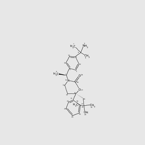 C[C@@H](c1ccc(C(C)(C)N)cc1)N1CC[C@](CC(C)(C)O)(c2ccccc2)OC1=O